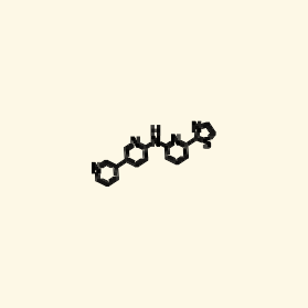 c1cncc(-c2ccc(Nc3cccc(-c4nccs4)n3)nc2)c1